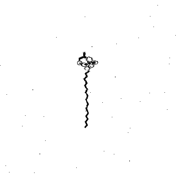 CCCCCCCCCCCCCCCCCCOOP1(=O)OOCC(C)O1